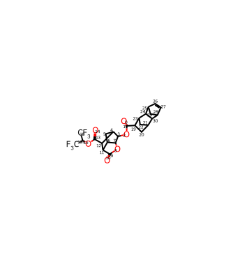 O=C(OC1C2CC3C1OC(=O)C3C2C(=O)OC(C(F)(F)F)C(F)(F)F)C1CC2CC1C1C3C=CC(C3)C21